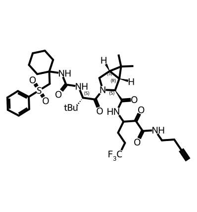 C#CCCNC(=O)C(=O)C(CCC(F)(F)F)NC(=O)[C@@H]1[C@@H]2[C@H](CN1C(=O)[C@@H](NC(=O)NC1(CS(=O)(=O)c3ccccc3)CCCCC1)C(C)(C)C)C2(C)C